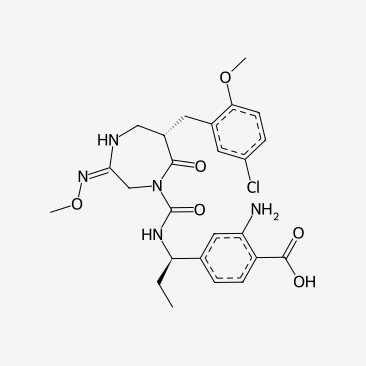 CC[C@@H](NC(=O)N1C/C(=N\OC)NC[C@H](Cc2cc(Cl)ccc2OC)C1=O)c1ccc(C(=O)O)c(N)c1